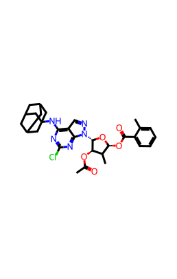 CC(=O)O[C@@H]1C(C)[C@H](OC(=O)c2ccccc2C)O[C@H]1n1ncc2c(NC34CC5CC(CC(C5)C3)C4)nc(Cl)nc21